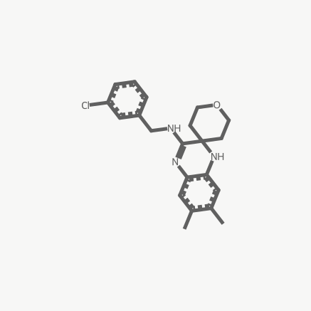 Cc1cc2c(cc1C)NC1(CCOCC1)C(NCc1cccc(Cl)c1)=N2